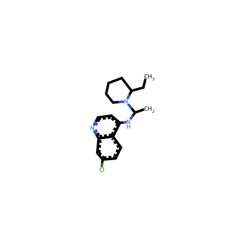 [CH2]C(Nc1ccnc2cc(Cl)ccc12)N1CCCCC1CC